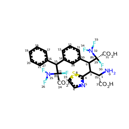 N[C@H](C(=O)O)C(c1nccs1)C(c1cccc(C(c2ccccc2)[C@@](F)(C(=O)O)N(F)F)c1)[C@@](F)(C(=O)O)N(F)F